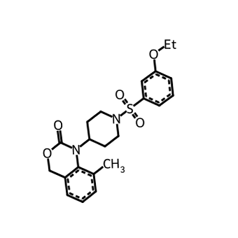 CCOc1cccc(S(=O)(=O)N2CCC(N3C(=O)OCc4cccc(C)c43)CC2)c1